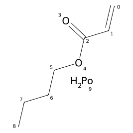 C=CC(=O)OCCCC.[PoH2]